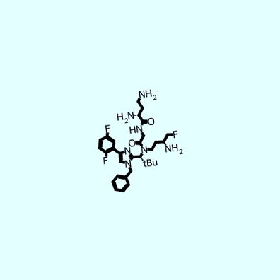 CC(C)(C)[C@H](c1nc(-c2cc(F)ccc2F)cn1Cc1ccccc1)N(CC[C@H](N)CF)C(=O)CNC(=O)[C@H](N)CCN